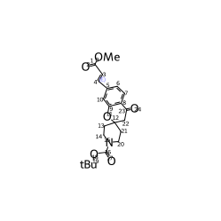 COC(=O)/C=C/c1ccc2c(c1)OC1(CCN(C(=O)OC(C)(C)C)CC1)CC2=O